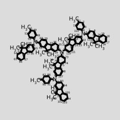 Cc1ccc(N(c2ccc3c(c2)C(C)(C)c2ccccc2-3)c2ccc3c(c2)C(C)(C)c2cc(N(c4ccc5c(c4)C(C)(C)c4cc(N(c6ccc(C)cc6)c6ccc7c(c6)C(C)(C)c6ccccc6-7)ccc4-5)c4ccc5c(c4)C(C)(C)c4cc(N(c6ccc(C)cc6)c6ccc7c(c6)C(C)(C)c6ccccc6-7)ccc4-5)ccc2-3)cc1